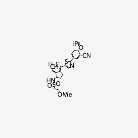 C/C=C1\C(C(C)c2cnc(C3=CCC(OC(C)C)C(C#N)=C3)s2)CC[C@@H]1NS(=O)(=O)CCOC